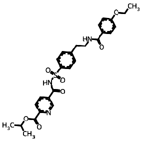 CCOc1ccc(C(=O)NCCc2ccc(S(=O)(=O)NC(=O)c3ccc(C(=O)OC(C)C)nc3)cc2)cc1